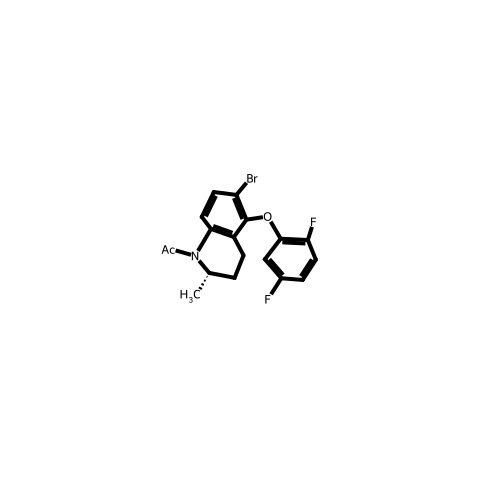 CC(=O)N1c2ccc(Br)c(Oc3cc(F)ccc3F)c2CC[C@@H]1C